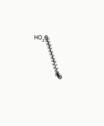 O=C=NCCCCCCCCCCCCCCCCCCCCCC(=O)O